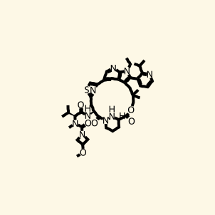 CCn1c(-c2cccnc2C(C)C)c2c3cc(cnc31)-c1csc(n1)C[C@H](NC(=O)[C@H](C(C)C)N(C)C(=O)N1CC(OC)C1)C(=O)N1CCC[C@H](N1)C(=O)OCC(C)(C)C2